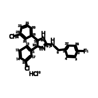 Cl.Fc1ccc(CNC2=NC(c3cccc(Cl)c3)C(c3cccc(Cl)c3)N2)cc1